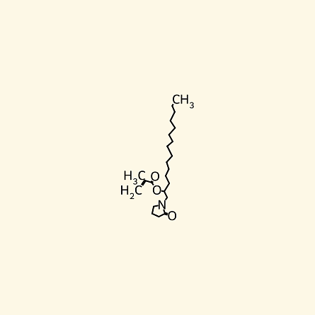 C=C(C)C(=O)OC(CCCCCCCCCCCCC)CN1CCCC1=O